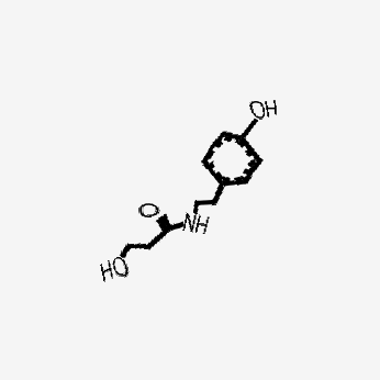 O=C(CCO)NCCc1ccc(O)cc1